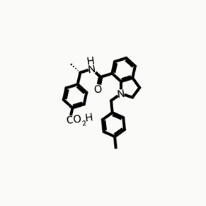 Cc1ccc(CN2CCc3cccc(C(=O)N[C@@H](C)c4ccc(C(=O)O)cc4)c32)cc1